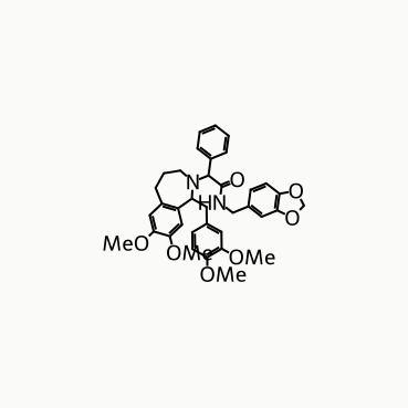 COc1ccc(CC2c3cc(OC)c(OC)cc3CCCN2C(C(=O)NCc2ccc3c(c2)OCO3)c2ccccc2)cc1OC